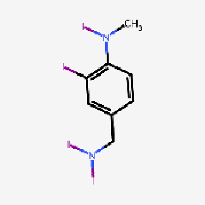 CN(I)c1ccc(CN(I)I)cc1I